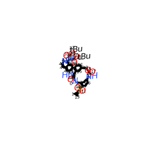 CN1Cc2cc(ccc2S(=O)(=O)C2CC2)NC(=O)OCc2cccc(c2)[C@@H](Nc2ccc3c(N(C(=O)OC(C)(C)C)C(=O)OC(C)(C)C)nccc3c2)C1=O